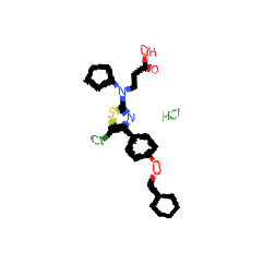 Cl.O=C(O)CCN(c1nc(-c2ccc(OCC3CCCCC3)cc2)c(Cl)s1)C1CCCC1